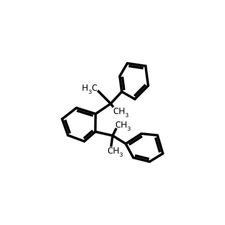 CC(C)(c1ccccc1)c1ccccc1C(C)(C)c1ccccc1